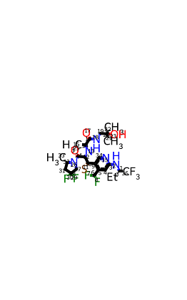 CC[C@H](Nc1cc(C(F)F)c(C(=S)C(/N=C(\C)C(=O)NCC(C)(C)O)C(=O)N2CC(F)(F)C[C@@H]2C)cn1)C(F)(F)F